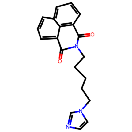 O=C1c2cccc3cccc(c23)C(=O)N1CCCCCn1ccnc1